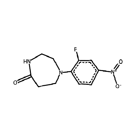 O=C1CCN(c2ccc([N+](=O)[O-])cc2F)CCN1